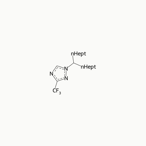 CCCCCCCC(CCCCCCC)n1cnc(C(F)(F)F)n1